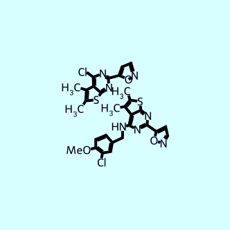 COc1ccc(CNc2nc(-c3ccno3)nc3sc(C)c(C)c23)cc1Cl.Cc1sc2nc(-c3ccno3)nc(Cl)c2c1C